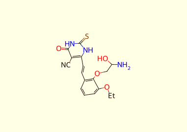 CCOc1cccc(/C=C/c2[nH]c(=S)[nH]c(=O)c2C#N)c1OCC(N)O